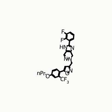 CCCOc1ccc(-c2cc(CN3Cc4nc(-c5cccc(F)c5F)[nH]c4C=N3)no2)c(C(F)(F)F)c1